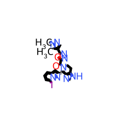 Cc1c(-c2nnc(C(=O)N3CCc4[nH]cnc4[C@@H]3c3cc4cccc(I)n4n3)o2)cnn1C